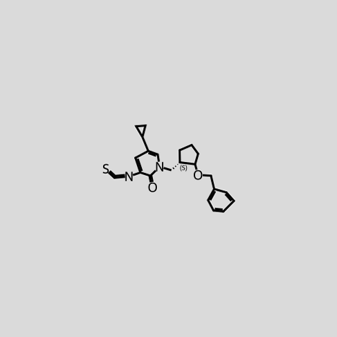 O=c1c(N=C=S)cc(C2CC2)cn1C[C@@H]1CCCC1OCc1ccccc1